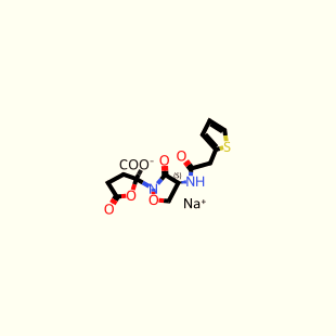 O=C(Cc1cccs1)N[C@H]1CON(C2(C(=O)[O-])CCC(=O)O2)C1=O.[Na+]